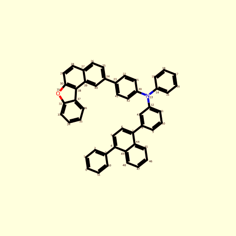 c1ccc(-c2ccc(-c3cccc(N(c4ccccc4)c4ccc(-c5ccc6ccc7oc8ccccc8c7c6c5)cc4)c3)c3ccccc23)cc1